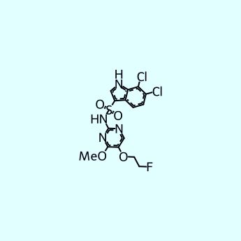 COc1nc(NS(=O)(=O)c2c[nH]c3c(Cl)c(Cl)ccc23)ncc1OCCF